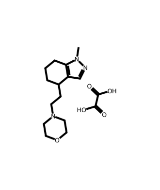 Cn1ncc2c1CCCC2CCN1CCOCC1.O=C(O)C(=O)O